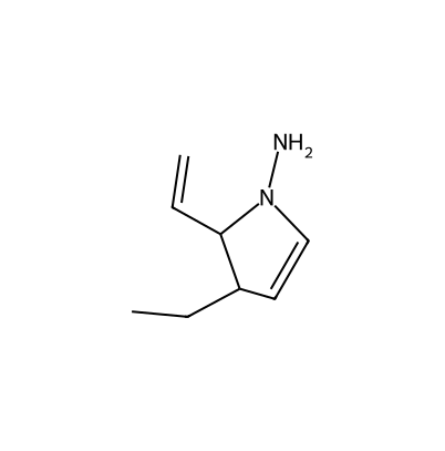 C=CC1C(CC)C=CN1N